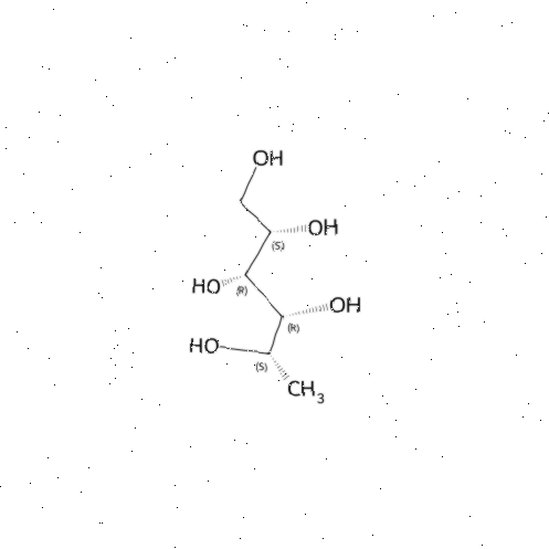 C[C@H](O)[C@@H](O)[C@H](O)[C@@H](O)CO